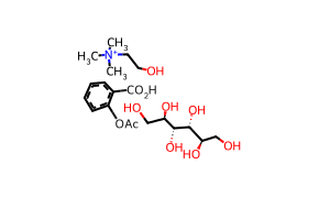 CC(=O)Oc1ccccc1C(=O)O.C[N+](C)(C)CCO.OC[C@@H](O)[C@@H](O)[C@H](O)[C@H](O)CO